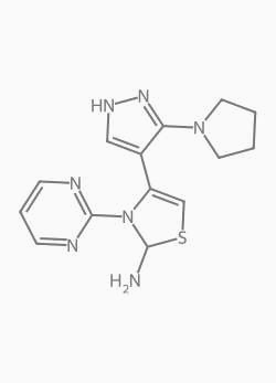 NC1SC=C(c2c[nH]nc2N2CCCC2)N1c1ncccn1